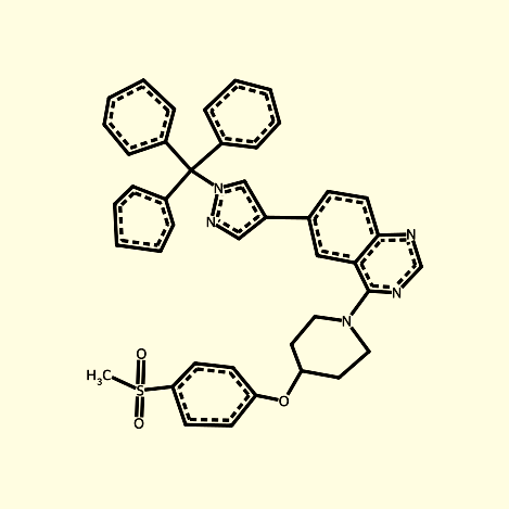 CS(=O)(=O)c1ccc(OC2CCN(c3ncnc4ccc(-c5cnn(C(c6ccccc6)(c6ccccc6)c6ccccc6)c5)cc34)CC2)cc1